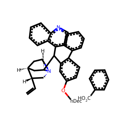 C=C[C@H]1C[N@@]2CC[C@H]1C[C@H]2C(c1cc(OCCCCCCCCCC)ccc1-c1ccccc1)c1ccnc2ccccc12.O=C(O)c1ccccc1